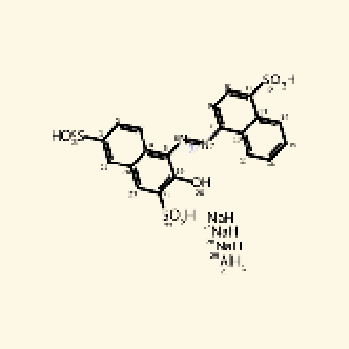 O=S(=O)(O)c1ccc2c(/N=N/c3ccc(S(=O)(=O)O)c4ccccc34)c(O)c(S(=O)(=O)O)cc2c1.[AlH3].[NaH].[NaH].[NaH]